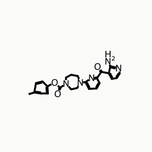 Cc1ccc(OC(=O)N2CCCN(c3cccc(C(=O)c4cccnc4N)n3)CC2)cc1